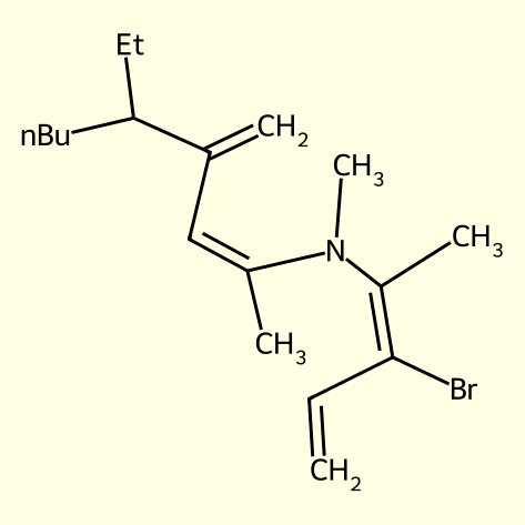 C=C/C(Br)=C(/C)N(C)/C(C)=C\C(=C)C(CC)CCCC